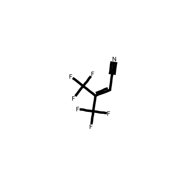 N#CC=C(C(F)(F)F)C(F)(F)F